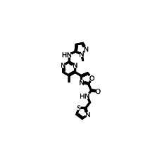 Cc1cnc(Nc2ccnn2C)nc1-c1coc(C(=O)NCc2nccs2)n1